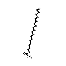 CC(=O)OCCCCCCCCCCCCCCCCCCCO